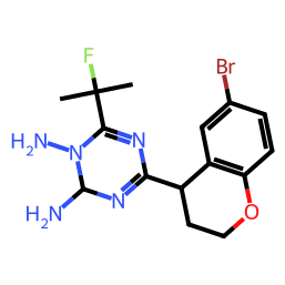 CC(C)(F)C1=NC(C2CCOc3ccc(Br)cc32)=NC(N)N1N